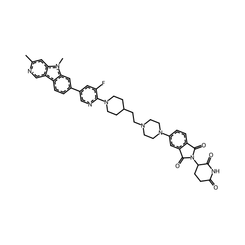 Cc1cc2c(cn1)c1ccc(-c3cnc(N4CCC(CCN5CCN(c6ccc7c(c6)C(=O)N(C6CCC(=O)NC6=O)C7=O)CC5)CC4)c(F)c3)cc1n2C